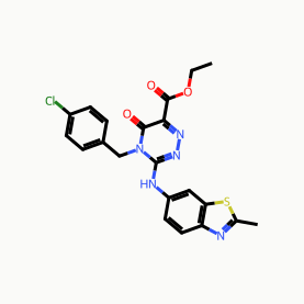 CCOC(=O)c1nnc(Nc2ccc3nc(C)sc3c2)n(Cc2ccc(Cl)cc2)c1=O